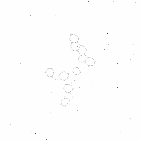 CC1(C)c2ccccc2-c2ccc(P(=O)(c3ccc(-c4cc5c(ccc6c7ccccc7ccc65)c5ccccc45)cc3)c3ccc4c(c3)C(C)(C)c3ccccc3-4)cc21